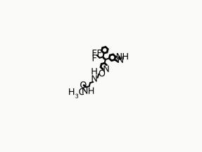 CNC(=O)CCCNCCOc1ccc(C(=C(CC(F)(F)F)c2ccccc2)c2ccc3[nH]ncc3c2)cn1